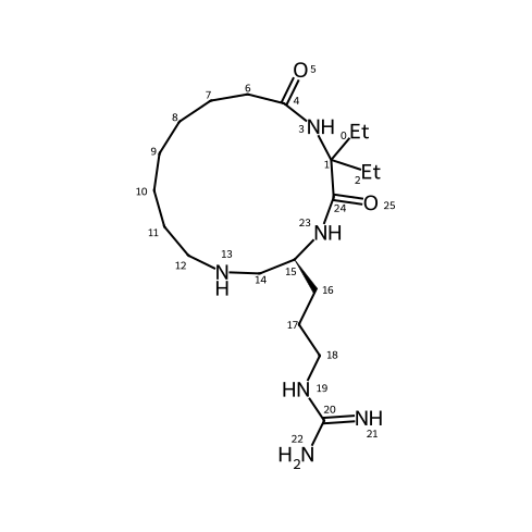 CCC1(CC)NC(=O)CCCCCCCNC[C@H](CCCNC(=N)N)NC1=O